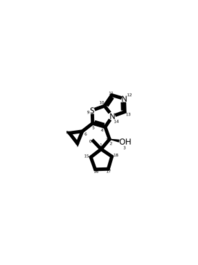 CC1([C@H](O)c2c(C3CC3)sc3cncn23)CCCC1